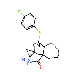 N#CC1(C2(C(N)=O)CCCCC2CSc2ccc(F)cc2)CC1